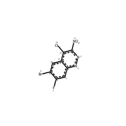 O=[N+]([O-])c1nnc2cc(F)c(Br)cc2c1Cl